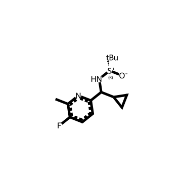 Cc1nc(C(N[S@@+]([O-])C(C)(C)C)C2CC2)ccc1F